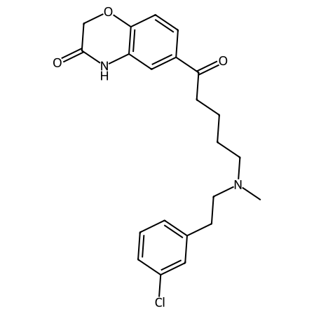 CN(CCCCC(=O)c1ccc2c(c1)NC(=O)CO2)CCc1cccc(Cl)c1